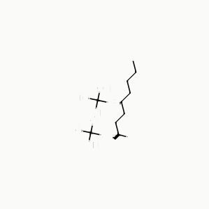 CCCC(O)(O)O.CCCC(O)(O)O.CCCCCCCC(=O)O